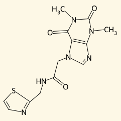 Cn1c(=O)c2c(ncn2CC(=O)NCc2nccs2)n(C)c1=O